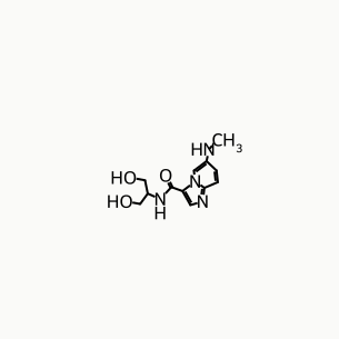 CNc1ccc2ncc(C(=O)NC(CO)CO)n2c1